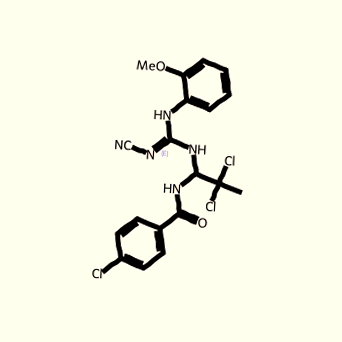 COc1ccccc1N/C(=N\C#N)NC(NC(=O)c1ccc(Cl)cc1)C(C)(Cl)Cl